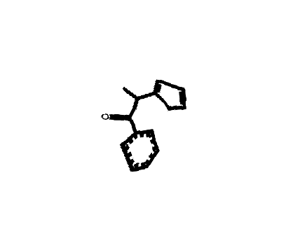 CC(C(=O)c1ccccc1)C1=CC=CC1